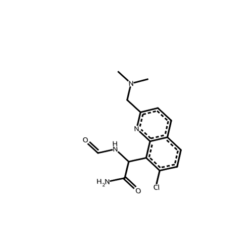 CN(C)Cc1ccc2ccc(Cl)c(C(NC=O)C(N)=O)c2n1